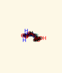 O=C1CCC(NC(=O)c2ccc3c(n2)OC[C@H]2CN(CC4CCN(c5ccc([C@@H]6c7ccc(O)cc7OC[C@@H]6c6ccccc6)cc5F)CC4)CCN32)C(=O)N1